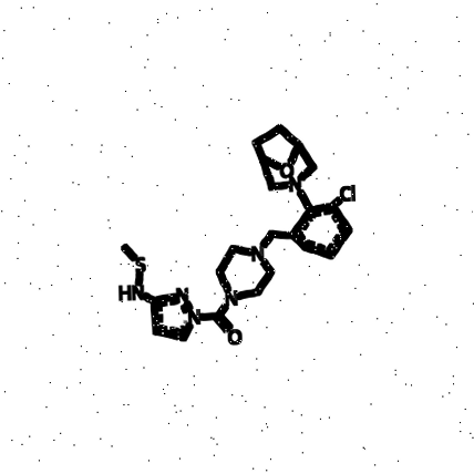 CSNc1ccn(C(=O)N2CCN(Cc3cccc(Cl)c3N3CC4CCC(C3)O4)CC2)n1